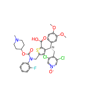 COc1ccc([C@H](Cc2c(Cl)c[n+]([O-])cc2Cl)c2cc(CN(C(=O)OC3CCN(C)CC3)c3ccccc3F)sc2C(=O)O)cc1OC